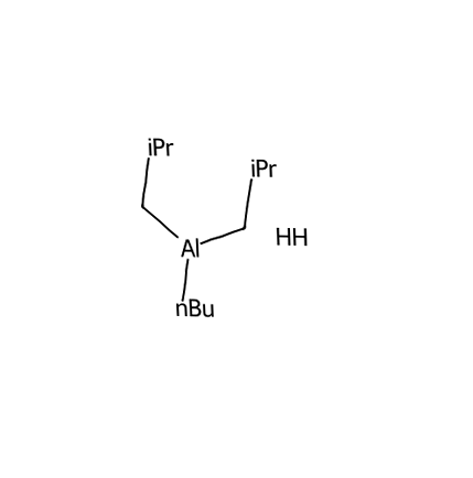 CCC[CH2][Al]([CH2]C(C)C)[CH2]C(C)C.[HH]